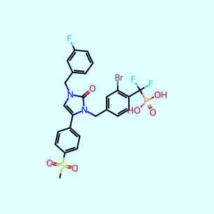 CS(=O)(=O)c1ccc(-c2cn(Cc3cccc(F)c3)c(=O)n2Cc2ccc(C(F)(F)P(=O)(O)O)c(Br)c2)cc1